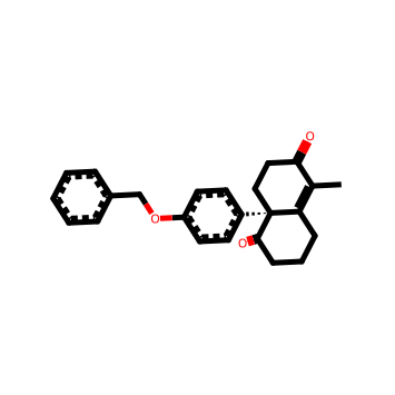 CC1=C2CCCC(=O)[C@@]2(c2ccc(OCc3ccccc3)cc2)CCC1=O